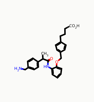 CC(C(=O)Nc1ccccc1OCc1ccc(CCCC(=O)O)cc1)c1ccc(CN)cc1